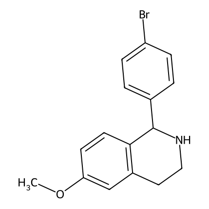 COc1ccc2c(c1)CCNC2c1ccc(Br)cc1